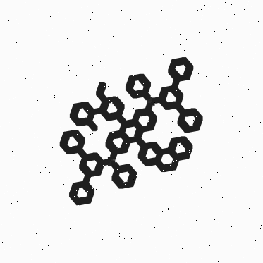 C=Cc1ccc(-c2c3ccc(N(c4ccccc4)c4cc(-c5ccccc5)cc(-c5ccccc5)c4)cc3c(-c3ccc4ccc5ccccc5c4c3)c3ccc(N(c4ccccc4)c4cc(-c5ccccc5)cc(-c5ccccc5)c4)cc23)cc1-c1ccccc1C